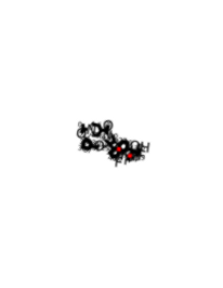 CC(=O)N1CCC(C(=O)N2C[C@@H](c3ccc(C(O)(C(F)(F)F)C(F)(F)F)cc3)[C@@](COCc3ccccc3)(c3ccc(F)cc3)C2)CC1